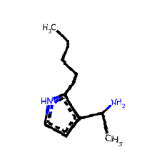 CCCCc1[nH]ccc1C(C)N